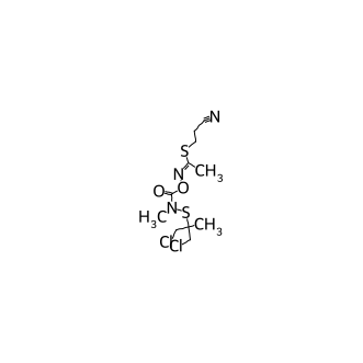 C/C(=N\OC(=O)N(C)SC(C)(CCl)CCl)SCCC#N